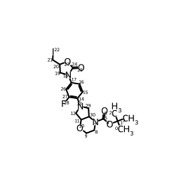 CC(C)(C)OC(=O)N1CCOC2CN(c3ccc(N4CC(CI)OC4=O)cc3F)CC21